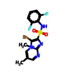 CC1=C[N+]2(C)C(=NC(S(=O)(=O)Nc3c(F)cccc3F)=C2Br)N=C1